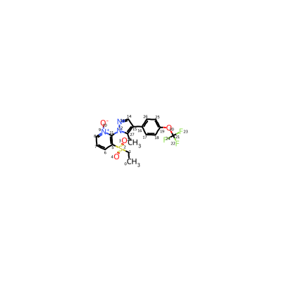 CCS(=O)(=O)c1ccc[n+]([O-])c1-n1ncc(-c2ccc(OC(F)(F)F)cc2)c1C